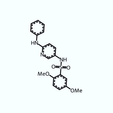 COc1ccc(OC)c(S(=O)(=O)Nc2ccc(Nc3ccccc3)nc2)c1